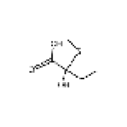 CCC(O)(SC)C(=O)O